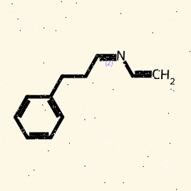 C=C/N=C\CCc1ccccc1